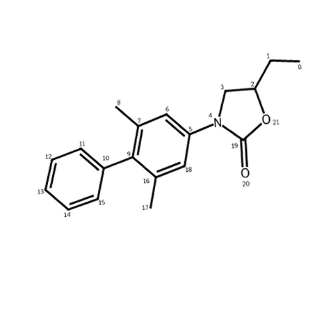 CCC1CN(c2cc(C)c(-c3ccccc3)c(C)c2)C(=O)O1